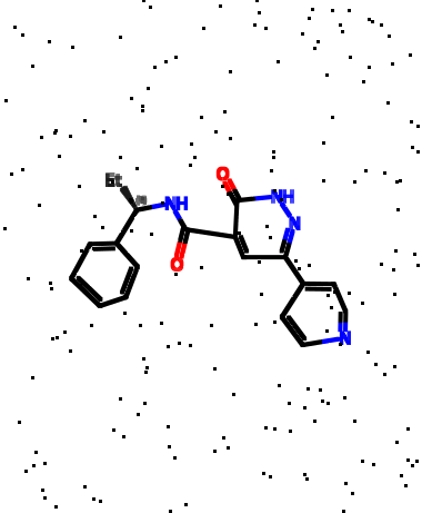 CC[C@@H](NC(=O)c1cc(-c2ccncc2)n[nH]c1=O)c1ccccc1